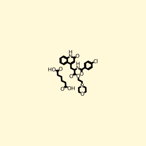 O=C(NC(Cc1cc(=O)[nH]c2ccccc12)C(=O)OCCN1CCOCC1)c1ccc(Cl)cc1.O=C(O)CCCCC(=O)O